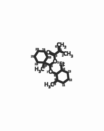 C=C(C)C(=O)OC(OC1C(C)CCCC1CC)C1(C)CCCCC1